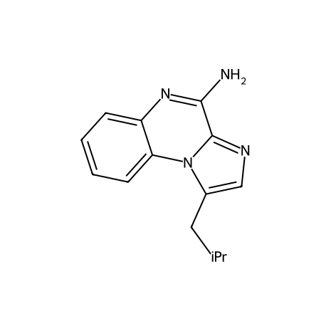 CC(C)Cc1cnc2c(N)nc3ccccc3n12